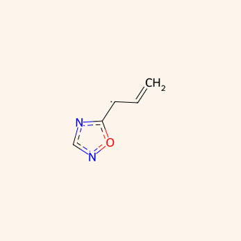 C=C[CH]c1ncno1